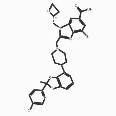 CC1(c2ccc(Cl)cn2)Oc2cccc(C3CCN(Cc4nc5c(Br)cc(C(=O)O)cc5n4C[C@H]4CCO4)CC3)c2O1